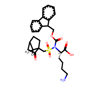 CC1(C)C2CCC1(CS(=O)(=O)N(C(=O)OCC1c3ccccc3-c3ccccc31)[C@@H](CCCCN)C(=O)O)C(=O)C2